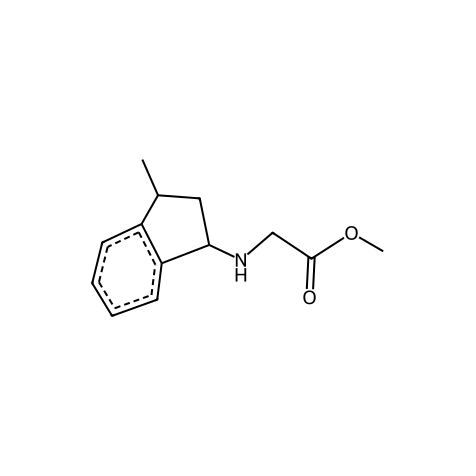 COC(=O)CNC1CC(C)c2ccccc21